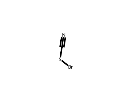 N#CSBr